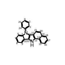 c1ccc(-n2c3ccccc3c3[nH]c4c5ccccc5ccc4c32)cc1